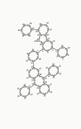 c1ccc(-c2cc(-c3cccc(-c4ccc5c(-c6ccccc6)c6ccccc6c(-c6ccccc6)c5c4)c3)c3oc4c(-c5ccccc5)cccc4c3c2)cc1